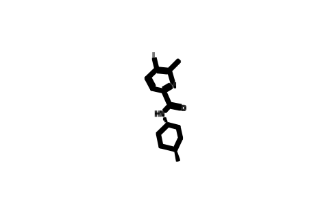 Cc1nc(C(=O)N[C@H]2CC[C@H](C)CC2)ccc1I